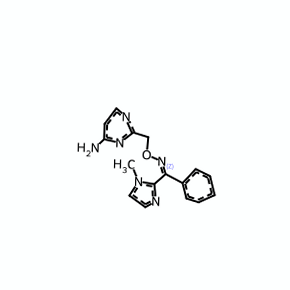 Cn1ccnc1/C(=N\OCc1nccc(N)n1)c1ccccc1